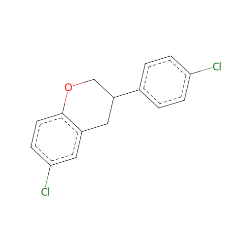 Clc1ccc(C2COc3ccc(Cl)cc3C2)cc1